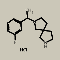 CC(c1cccc(F)c1)N1CCC2(CCNC2)C1.Cl